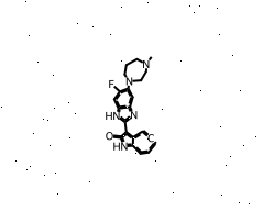 CN1CCCN(c2cc3nc(-c4c5cccccc-5[nH]c4=O)[nH]c3cc2F)CC1